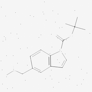 CNCc1ccc2c(ccn2C(=O)OC(C)(C)C)c1